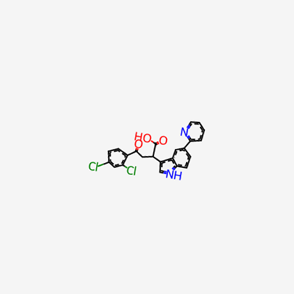 O=C(CC(C(=O)O)c1c[nH]c2ccc(-c3ccccn3)cc12)c1ccc(Cl)cc1Cl